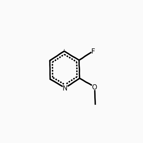 COc1ncc[c]c1F